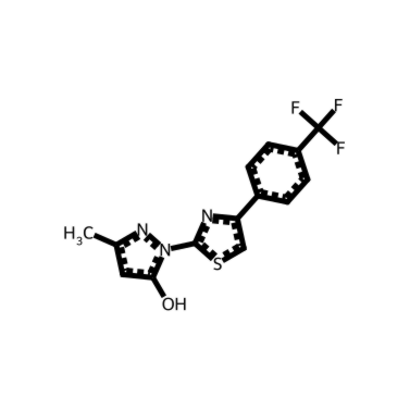 Cc1cc(O)n(-c2nc(-c3ccc(C(F)(F)F)cc3)cs2)n1